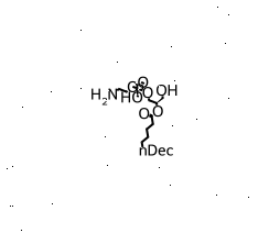 CCCCCCCCCCCCCCC(=O)O[C@H](CO)COP(=O)(O)OCCN